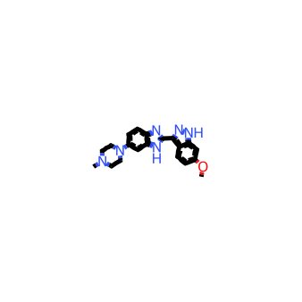 COc1ccc2c(-c3nc4ccc(N5CCN(C)CC5)cc4[nH]3)n[nH]c2c1